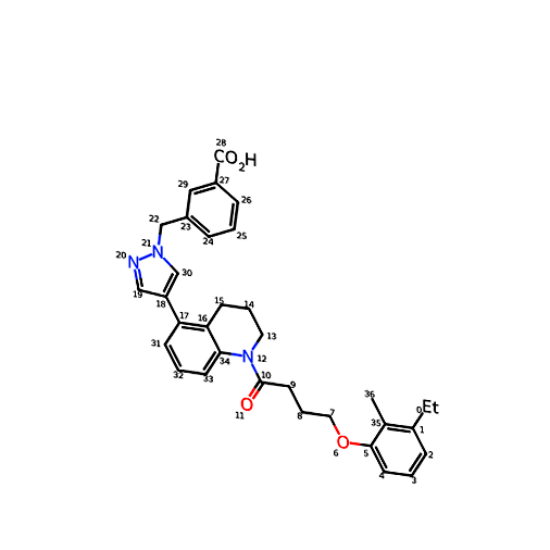 CCc1cccc(OCCCC(=O)N2CCCc3c(-c4cnn(Cc5cccc(C(=O)O)c5)c4)cccc32)c1C